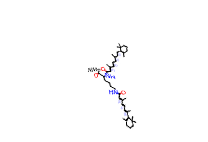 CNC(=O)C(CCCCNC(=O)/C=C(C)/C=C/C=C(\C)C1=C(C)CCCC1(C)C)NC(=O)/C=C(C)/C=C/C=C(C)/C=C/C1=C(C)CCCC1(C)C